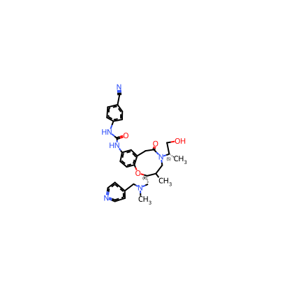 CC1CN([C@@H](C)CO)C(=O)Cc2cc(NC(=O)Nc3ccc(C#N)cc3)ccc2O[C@H]1CN(C)Cc1ccncc1